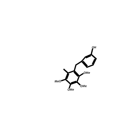 COc1c(C)c(Cc2cccc(O)c2)c(OC)c(OC)c1OC